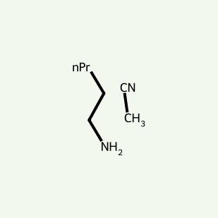 CC#N.CCCCCN